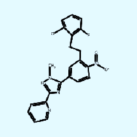 Cn1nc(-c2ccccn2)nc1-c1ccc([N+](=O)[O-])c([CH][CH]c2c(F)cccc2Cl)c1